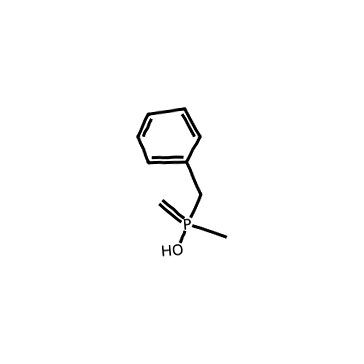 C=P(C)(O)Cc1ccccc1